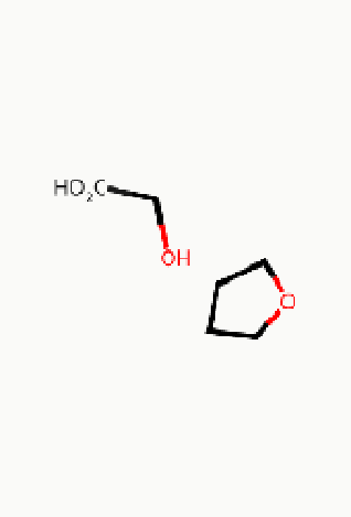 C1CCOC1.O=C(O)CO